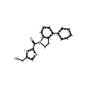 O=C(c1ncc(CCl)s1)N1CCc2c(-c3ccccc3)cccc21